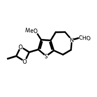 COc1c(C2OC(C)O2)sc2c1CCN(C=O)CC2